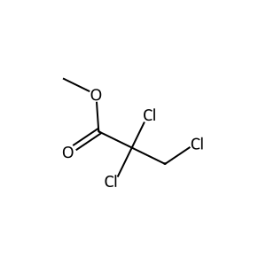 COC(=O)C(Cl)(Cl)CCl